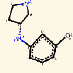 Cc1cccc(N[C@@H]2CCNC2)c1